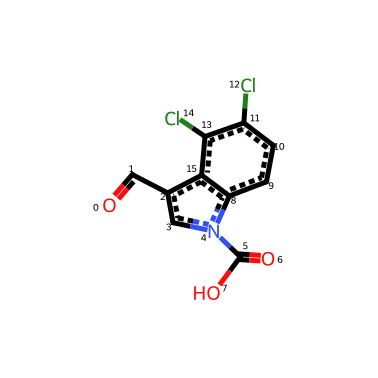 O=Cc1cn(C(=O)O)c2ccc(Cl)c(Cl)c12